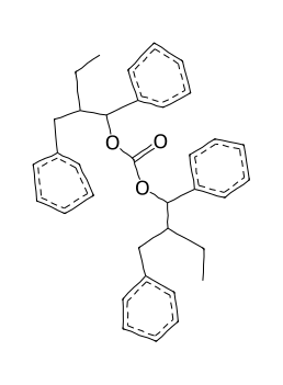 CCC(Cc1ccccc1)C(OC(=O)OC(c1ccccc1)C(CC)Cc1ccccc1)c1ccccc1